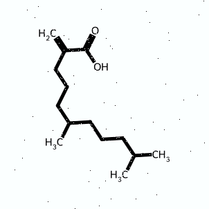 C=C(CCCC(C)CCCC(C)C)C(=O)O